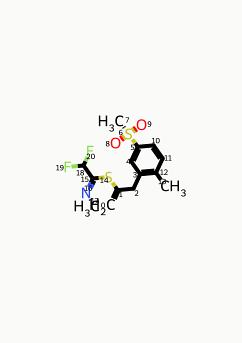 C=C(Cc1cc(S(C)(=O)=O)ccc1C)S/C(=N\C)C(F)F